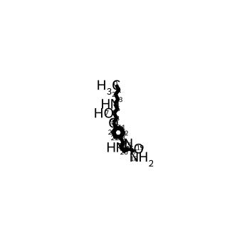 CCCCNCC(O)COc1ccc(-c2nc(C(N)=O)c[nH]2)cc1